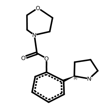 O=C(Oc1ccccc1[C@H]1CCC[N]1)N1CCOCC1